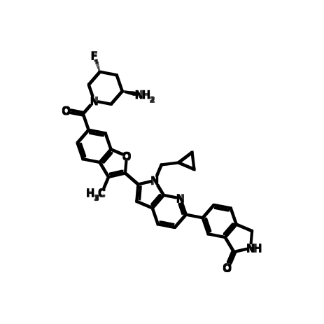 Cc1c(-c2cc3ccc(-c4ccc5c(c4)C(=O)NC5)nc3n2CC2CC2)oc2cc(C(=O)N3C[C@H](N)C[C@@H](F)C3)ccc12